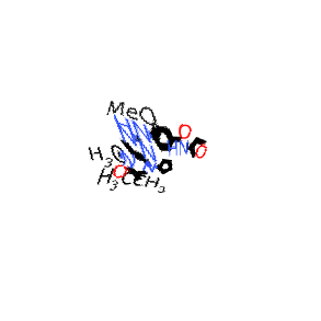 COc1cc(C(=O)N[C@H]2CCOC2)ccc1Nc1ncc2c(n1)N(C1CCCC1)CC(C)(C)C(=O)N2C